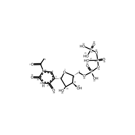 CC(=O)n1cc([C@@H]2O[C@H](COP(=O)(O)OP(=O)(O)OP(=O)(O)O)[C@@H](O)[C@H]2O)c(=O)[nH]c1=O